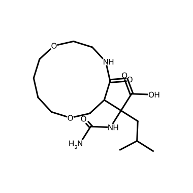 CC(C)CC(NC(N)=O)(C(=O)O)C1COCCCCOCCNC1=O